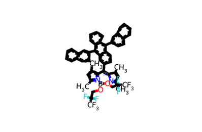 CC1=CC(C)=N/C1=C(/c1ccc2c(-c3ccc4ccccc4c3)c3ccccc3c(-c3ccc4ccccc4c3)c2c1)c1c(C)cc(C)n1B(OCC(F)(F)C(F)(F)F)OCC(F)(F)C(F)(F)F